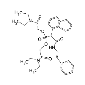 CCN(CC)C(=O)COP(=O)(OCC(=O)N(CC)CC)C(C(=O)N/C=C/c1ccccc1)c1cccc2ccccc12